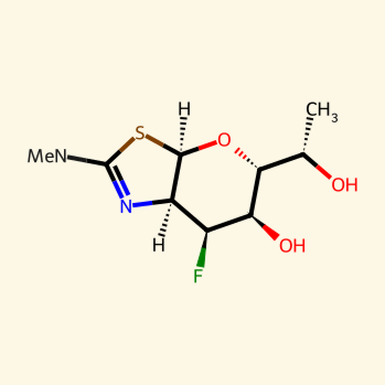 CNC1=N[C@@H]2[C@H](F)[C@H](O)[C@@H]([C@H](C)O)O[C@@H]2S1